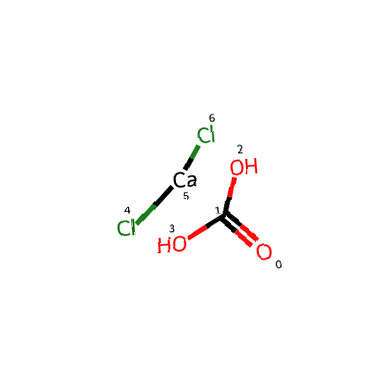 O=C(O)O.[Cl][Ca][Cl]